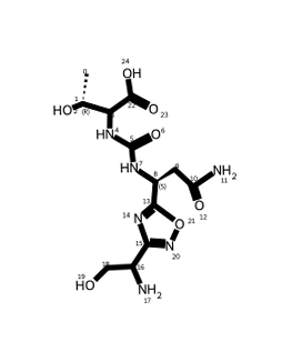 C[C@@H](O)C(NC(=O)N[C@@H](CC(N)=O)c1nc(C(N)CO)no1)C(=O)O